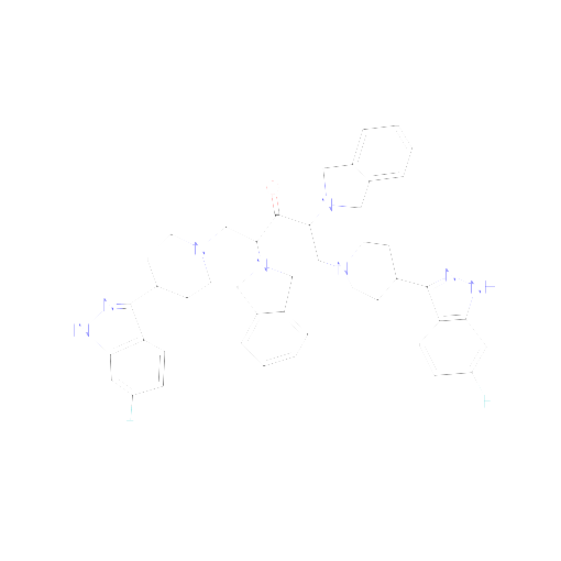 O=C(C(CN1CCC(c2n[nH]c3cc(F)ccc23)CC1)N1Cc2ccccc2C1)C(CN1CCC(c2n[nH]c3cc(F)ccc23)CC1)N1Cc2ccccc2C1